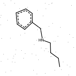 CCCCN[CH]c1ccccc1